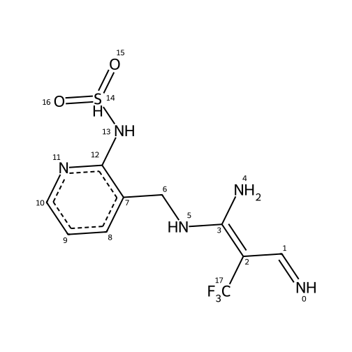 N=C/C(=C(\N)NCc1cccnc1N[SH](=O)=O)C(F)(F)F